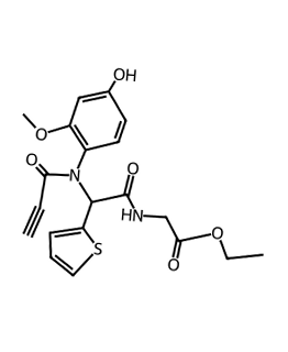 C#CC(=O)N(c1ccc(O)cc1OC)C(C(=O)NCC(=O)OCC)c1cccs1